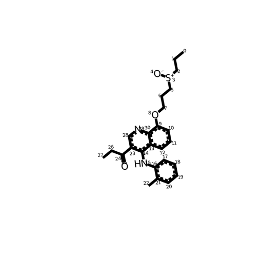 CCC[S+]([O-])CCCOc1cccc2c(Nc3ccccc3C)c(C(=O)CC)cnc12